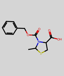 CC1SCC(C(=O)O)N1C(=O)OCc1ccccc1